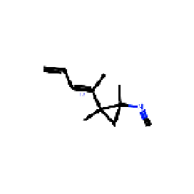 C=C/C=C(\C)C1(C)CC1(C)N=C